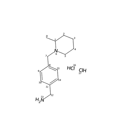 CC1CCCCN1Cc1ccc(CN)cc1.Cl.Cl